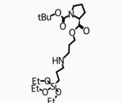 CCO[Si](CCCNCCCOC(=O)[C@@H]1CCCN1C(=O)OC(C)(C)C)(OCC)OCC